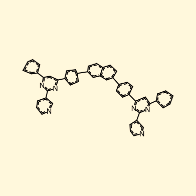 c1ccc(-c2cc(-c3ccc(-c4ccc5ccc(-c6ccc(-c7cc(-c8ccccc8)nc(-c8cccnc8)n7)cc6)cc5c4)cc3)nc(-c3cccnc3)n2)cc1